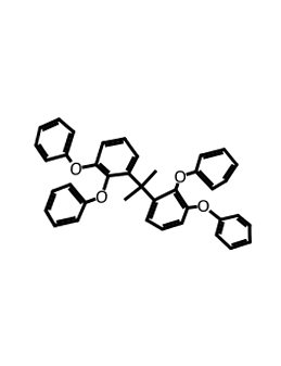 CC(C)(c1cccc(Oc2ccccc2)c1Oc1ccccc1)c1cccc(Oc2ccccc2)c1Oc1ccccc1